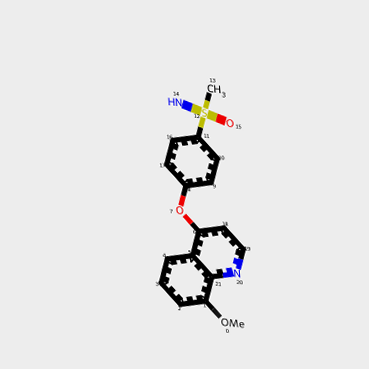 COc1cccc2c(Oc3ccc(S(C)(=N)=O)cc3)ccnc12